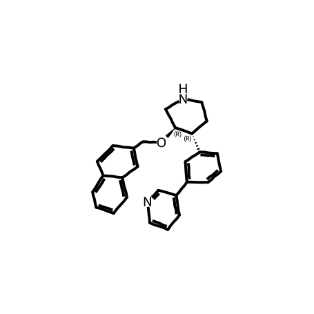 c1cncc(-c2cccc([C@H]3CCNC[C@@H]3OCc3ccc4ccccc4c3)c2)c1